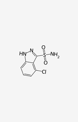 NS(=O)(=O)c1n[nH]c2cccc(Cl)c12